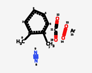 Cc1ccccc1C.N#N.O=C=O.O=O.[Ar]